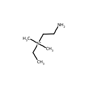 CC[N+](C)(C)CCN